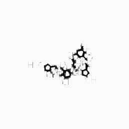 CC1CC(COC(=O)c2c(Cl)c(Cl)cc(Cl)c2OC(=O)C(=O)Oc2c(Cl)cc(Cl)c(Cl)c2C(=O)OCC2CC(C)CC2(C)C)C(C)(C)C1